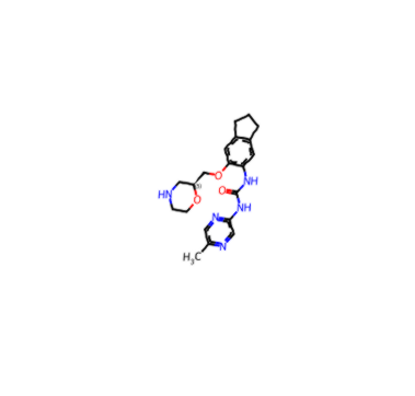 Cc1cnc(NC(=O)Nc2cc3c(cc2OC[C@@H]2CNCCO2)CCC3)cn1